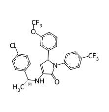 C[C@@H](NC1=CC(c2cccc(OC(F)(F)F)c2)N(c2ccc(C(F)(F)F)cc2)C1=O)c1ccc(Cl)cc1